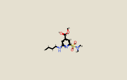 CCCCNc1cc(C(=O)OC)cc(S(=O)(=O)N(C)C)n1